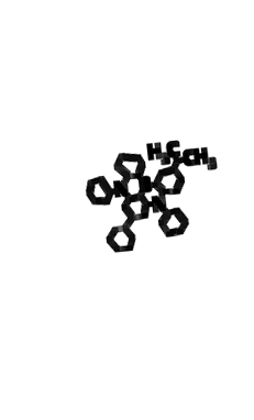 CC(C)c1ccc2c(c1)B1c3ccccc3N(c3ccccc3)c3cc(C4CCCCC4)cc(c31)N2c1ccccc1